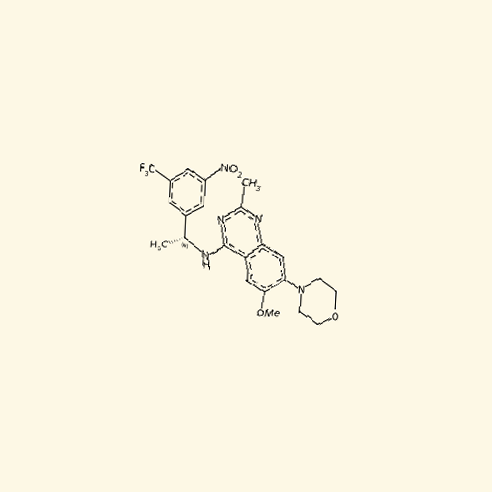 COc1cc2c(N[C@H](C)c3cc([N+](=O)[O-])cc(C(F)(F)F)c3)nc(C)nc2cc1N1CCOCC1